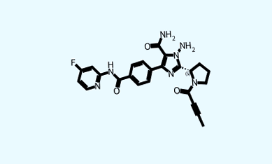 CC#CC(=O)N1CCC[C@H]1c1nc(-c2ccc(C(=O)Nc3cc(F)ccn3)cc2)c(C(N)=O)n1N